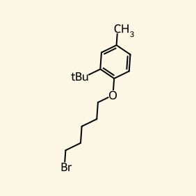 Cc1ccc(OCCCCCBr)c(C(C)(C)C)c1